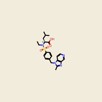 CCN([C@@H](CC(C)C)C(=O)O)S(=O)(=O)c1ccc(Cn2c(C)nc3cnccc32)cc1